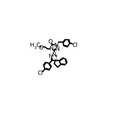 COCCn1c(N2C[C@]3(CCc4ccccc43)C(c3ccc(Cl)cc3)=N2)nn(Cc2ccc(Cl)cc2)c1=O